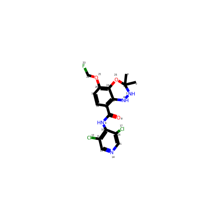 CC1(C)NNc2c(C(=O)Nc3c(Cl)cncc3Cl)ccc(OCF)c2O1